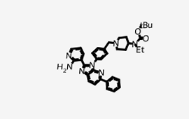 CCN(C(=O)OC(C)(C)C)C1CCN(Cc2ccc(-n3c(-c4cccnc4N)nc4ccc(-c5ccccc5)nc43)cc2)CC1